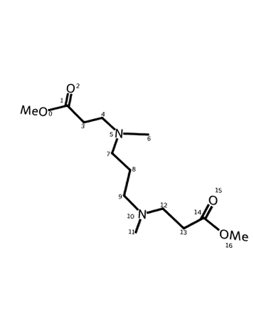 COC(=O)CCN(C)CCCN(C)CCC(=O)OC